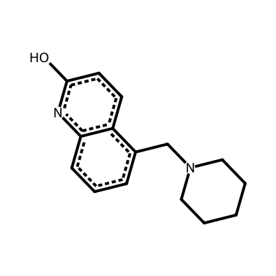 Oc1ccc2c(CN3CCCCC3)cccc2n1